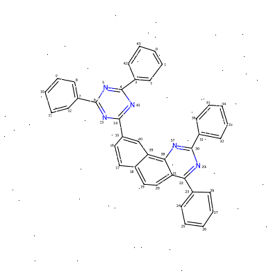 c1ccc(-c2nc(-c3ccccc3)nc(-c3ccc4ccc5c(-c6ccccc6)nc(-c6ccccc6)nc5c4c3)n2)cc1